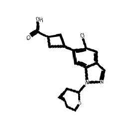 O=C(O)C1CC(c2cc3c(cnn3C3CCCCO3)cc2Cl)C1